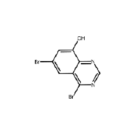 Oc1cc(Br)cc2c(Br)ncnc12